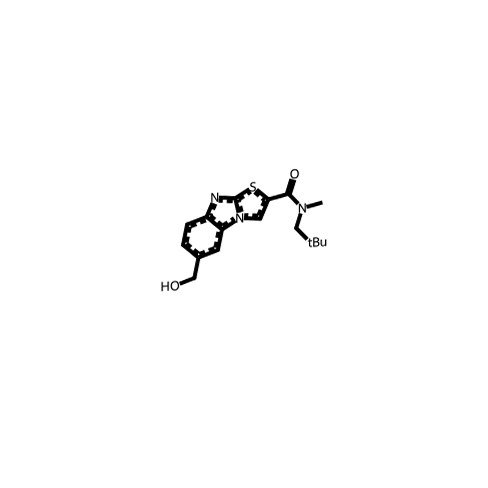 CN(CC(C)(C)C)C(=O)c1cn2c(nc3ccc(CO)cc32)s1